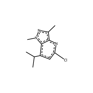 Cc1nn(C)c2c(C(C)C)cc(Cl)nc12